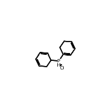 O=[PH](C1=CC=CCC1)C1C=CC=CC1